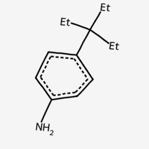 CCC(CC)(CC)c1ccc(N)cc1